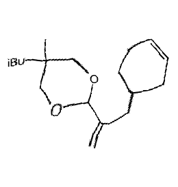 C=C(CC1CC=CCC1)C1OCC(C)(C(C)CC)CO1